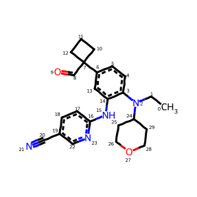 CCN(c1ccc(C2(C=O)CCC2)cc1Nc1ccc(C#N)cn1)C1CCOCC1